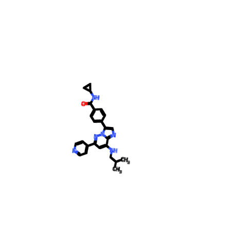 CC(C)CNc1cc(-c2ccncc2)nn2c(-c3ccc(C(=O)NC4CC4)cc3)cnc12